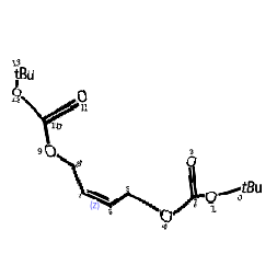 CC(C)(C)OC(=O)OC/C=C\COC(=O)OC(C)(C)C